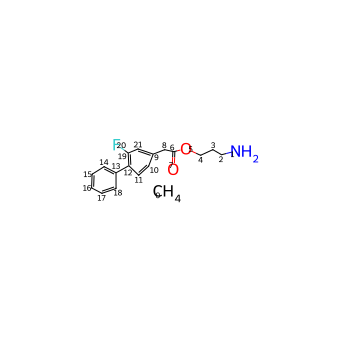 C.NCCCOC(=O)Cc1ccc(-c2ccccc2)c(F)c1